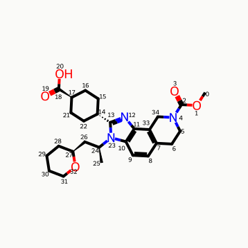 COC(=O)N1CCc2ccc3c(nc([C@H]4CC[C@H](C(=O)O)CC4)n3[C@@H](C)C[C@@H]3CCCCO3)c2C1